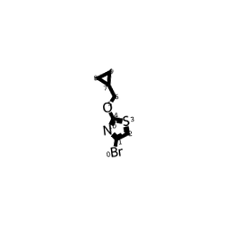 Brc1csc(OCC2CC2)n1